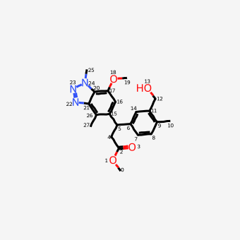 COC(=O)CC(c1ccc(C)c(CO)c1)c1cc(OC)c2c(nnn2C)c1C